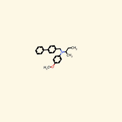 CCC(C)N(Cc1ccc(-c2ccccc2)cc1)c1ccc(OC)cc1